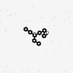 c1ccc(-c2ccc(-c3cc(-c4cccc(-c5ccccc5)c4)cc(-c4ccc(-c5cccc6c5-c5ccccc5CO6)cc4)n3)cc2)cc1